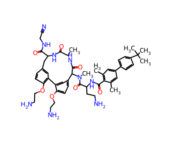 Cc1cc(-c2ccc(C(C)(C)C)cc2)cc(C)c1C(=O)NC(CCN)C(=O)N(C)C1C(=O)NC(C)C(=O)NC(C(=O)NCC#N)Cc2ccc(OCCN)c(c2)-c2cc1ccc2OCCN